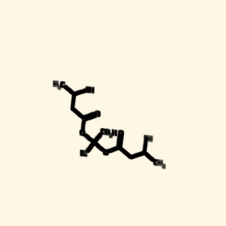 CCC(OC(=O)CC(C)S)(OC(=O)CC(C)S)C(=O)O